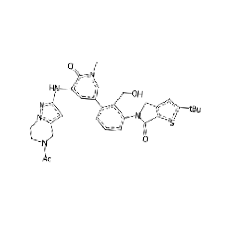 CC(=O)N1CCn2nc(Nc3cc(-c4cccc(N5Cc6cc(C(C)(C)C)sc6C5=O)c4CO)cn(C)c3=O)cc2C1